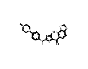 CN1CCN(c2ccc(Nc3nc(N)c(C(=O)c4ccc5c(c4)OCO5)s3)cc2)CC1